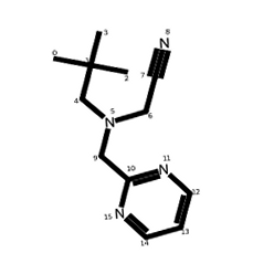 CC(C)(C)CN(CC#N)Cc1ncccn1